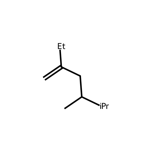 C=C(CC)CC(C)C(C)C